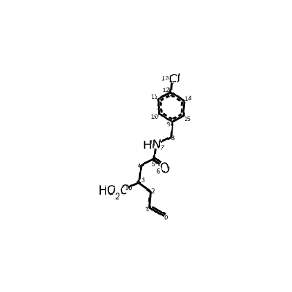 C=CCC(CC(=O)NCc1ccc(Cl)cc1)C(=O)O